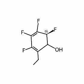 CCC1=C(F)C(F)=C(F)[C@@H](F)C1O